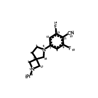 CC(C)N1CC2(CCN(c3cc(F)c(C#N)c(F)c3)C2)C1